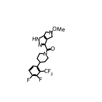 CON1Cc2[nH]nc(C(=O)N3CCC(c4ccc(F)c(F)c4C(F)(F)F)CC3)c2C1